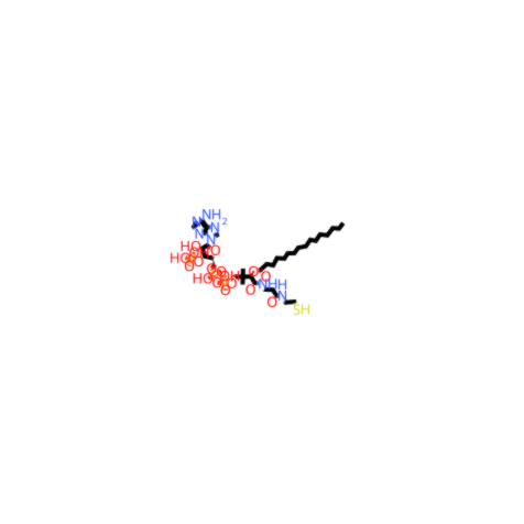 CCCCCCCCCCCCCCCC(=O)O[C@@H](C(=O)NCCC(=O)NCCS)C(C)(C)COP(=O)(O)OP(=O)(O)OC[C@H]1O[C@@H](n2cnc3c(N)ncnc32)[C@H](O)[C@@H]1OP(=O)(O)O